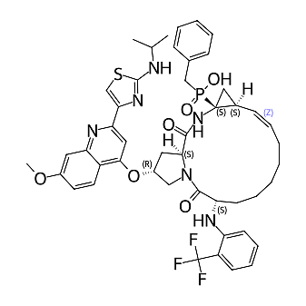 COc1ccc2c(O[C@@H]3C[C@H]4C(=O)N[C@]5(P(=O)(O)Cc6ccccc6)C[C@H]5/C=C\CCCCC[C@H](Nc5ccccc5C(F)(F)F)C(=O)N4C3)cc(-c3csc(NC(C)C)n3)nc2c1